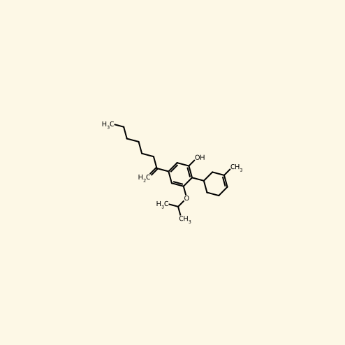 C=C(CCCCCC)c1cc(O)c(C2CCC=C(C)C2)c(OC(C)C)c1